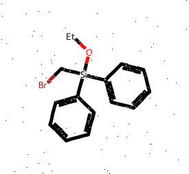 CCO[Si](CBr)(c1ccccc1)c1ccccc1